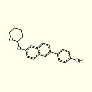 Oc1ccc(-c2ccc3cc(OC4CCCCO4)ccc3c2)cc1